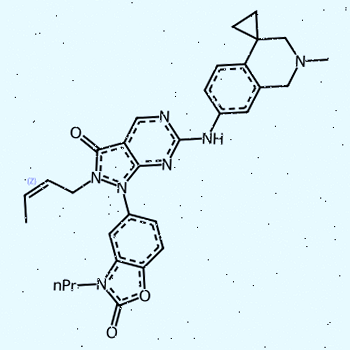 C/C=C\Cn1c(=O)c2cnc(Nc3ccc4c(c3)CN(C)CC43CC3)nc2n1-c1ccc2oc(=O)n(CCC)c2c1